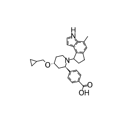 Cc1cc2c(c3cc[nH]c13)C(N1CC[C@@H](OCC3CC3)C[C@@H]1c1ccc(C(=O)O)cc1)CC2